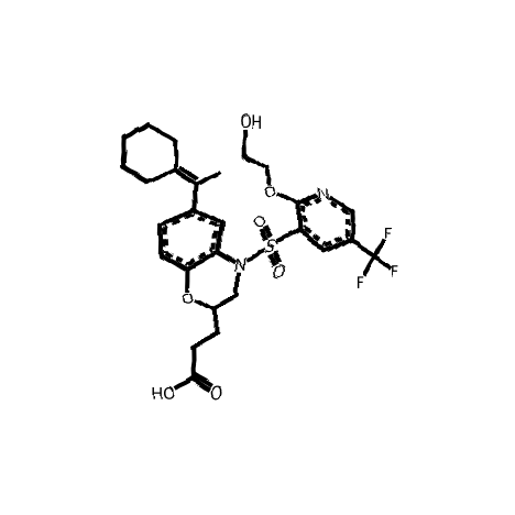 CC(=C1CCCCC1)c1ccc2c(c1)N(S(=O)(=O)c1cc(C(F)(F)F)cnc1OCCO)CC(CCC(=O)O)O2